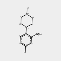 CNc1cc(C)ccc1N1CCN(C)CC1